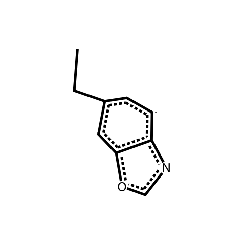 CCc1c[c]c2ncoc2c1